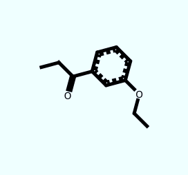 C[CH]C(=O)c1cccc(OCC)c1